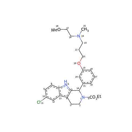 CCOC(=O)N1CCc2c([nH]c3ccc(Cl)cc23)C1c1cccc(OCCCN(C)CCOC)c1